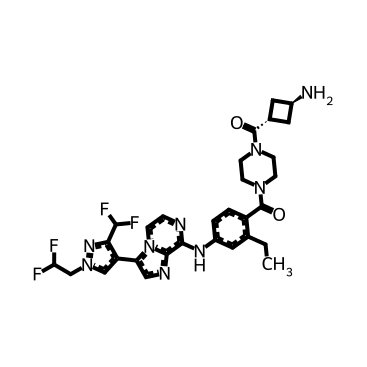 CCc1cc(Nc2nccn3c(-c4cn(CC(F)F)nc4C(F)F)cnc23)ccc1C(=O)N1CCN(C(=O)[C@H]2C[C@H](N)C2)CC1